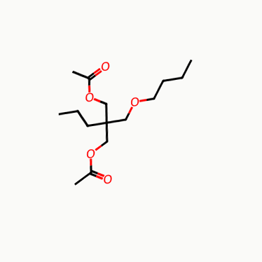 CCCCOCC(CCC)(COC(C)=O)COC(C)=O